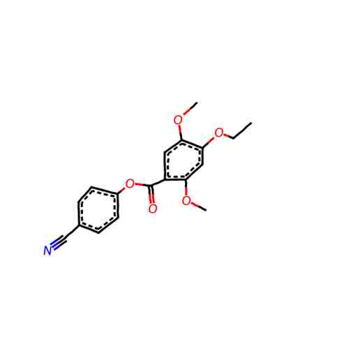 CCOc1cc(OC)c(C(=O)Oc2ccc(C#N)cc2)cc1OC